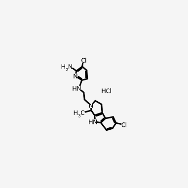 CC1c2[nH]c3ccc(Cl)cc3c2CCN1CCNc1ccc(Cl)c(N)n1.Cl